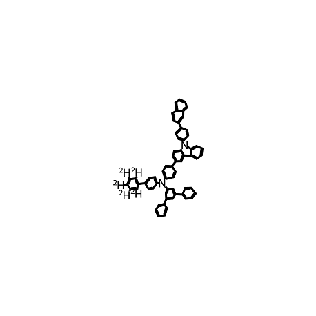 [2H]c1c([2H])c([2H])c(-c2ccc(N(c3ccc(-c4ccc5c(c4)c4ccccc4n5-c4ccc(-c5ccc6ccccc6c5)cc4)cc3)c3cc(-c4ccccc4)cc(-c4ccccc4)c3)cc2)c([2H])c1[2H]